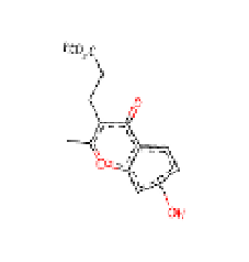 CCOC(=O)CCc1c(C)oc2cc(O)ccc2c1=O